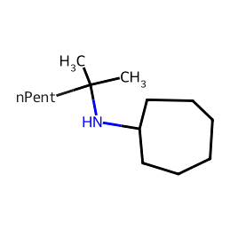 CCCCCC(C)(C)NC1CCCCCC1